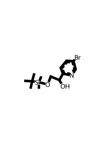 CC(C)(C)[Si](C)(C)OCC(O)c1ccc(Br)cn1